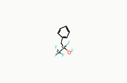 FO[Si](F)(Cc1ccccc1)[Si](F)(F)F